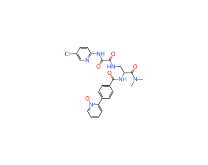 CN(C)C(=O)C(CNC(=O)C(=O)Nc1ccc(Cl)cn1)NC(=O)c1ccc(-c2cccc[n+]2[O-])cc1